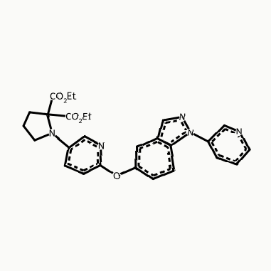 CCOC(=O)C1(C(=O)OCC)CCCN1c1ccc(Oc2ccc3c(cnn3-c3cccnc3)c2)nc1